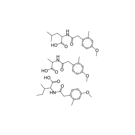 CCC(C)C(NC(=O)Cc1ccc(OC)cc1C)C(=O)O.COc1ccc(CC(=O)NC(C)C(=O)O)c(C)c1.COc1ccc(CC(=O)NC(CC(C)C)C(=O)O)c(C)c1